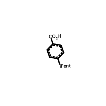 [CH2]CCC(C)c1ccc(C(=O)O)cc1